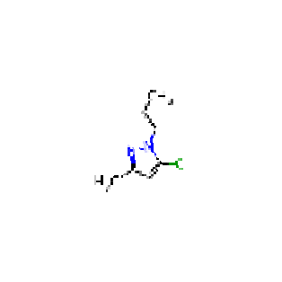 CCCn1nc(C)cc1Cl